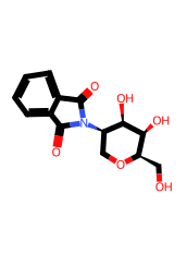 O=C1c2ccccc2C(=O)N1[C@@H]1CO[C@H](CO)[C@H](O)[C@@H]1O